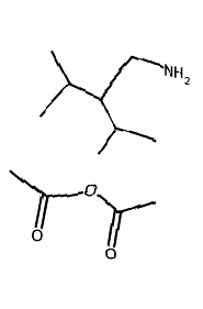 CC(=O)OC(C)=O.CC(C)C(CN)C(C)C